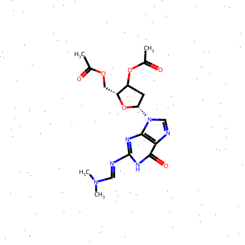 CC(=O)OC[C@H]1O[C@@H](n2cnc3c(=O)[nH]c(/N=C/N(C)C)nc32)CC1OC(C)=O